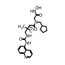 CC(C)(CNC(=O)Nc1cccc2ncccc12)CC(=O)N(CC(=O)NO)CC1CCCC1